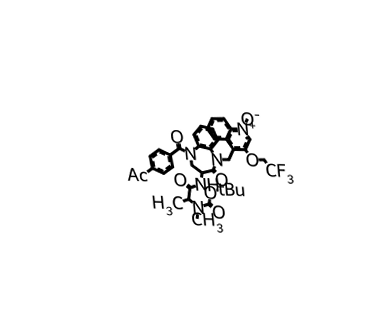 CC(=O)c1ccc(C(=O)N2CC(NC(=O)C(C)N(C)C(=O)OC(C)(C)C)C(=O)N(Cc3c(OCC(F)(F)F)c[n+]([O-])c4ccccc34)c3ccccc32)cc1